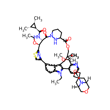 CCO[C@@H]1c2nc(cs2)-c2ccc3c(c2)c(c(-c2cc([C@@H]4C[C@H]5COC[C@@H](C4)N5C4COC4)cnc2[C@H](C)OC)n3CC)CC(C)(C)COC(=O)[C@@H]2CCCN(N2)C(=O)[C@H]1NC(=O)[C@H]1[C@H](C)[C@@H]1C